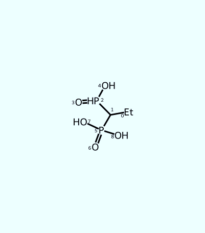 CCC([PH](=O)O)P(=O)(O)O